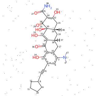 CN(C)c1cc(C#CC2CCCC2)c(O)c2c1C[C@H]1C[C@H]3CC(O)=C(C(N)=O)C(=O)[C@@]3(O)C(O)=C1C2=O